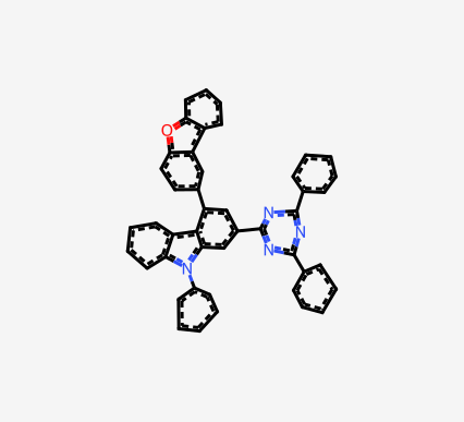 c1ccc(-c2nc(-c3ccccc3)nc(-c3cc(-c4ccc5oc6ccccc6c5c4)c4c5ccccc5n(-c5ccccc5)c4c3)n2)cc1